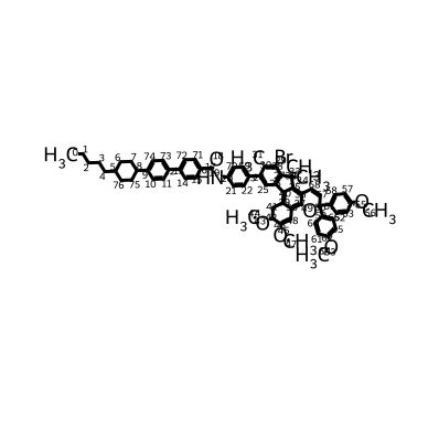 CCCCCC1CCC(c2ccc(-c3ccc(C(=O)Nc4ccc(-c5cc6c(c(Br)c5C)C(C)(C)c5c7c(c8c(c5-6)CC(OC)C(OC)=C8)OC(c5ccc(OC)cc5)(c5ccc(OC)cc5)C=C7)cc4)cc3)cc2)CC1